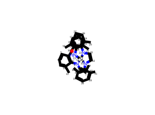 C/C=C\N(c1c(C)cccc1C)[Si]1(Nc2c(C)cccc2C)N(c2c(C)cccc2C)C=CN1c1c(C)cccc1C